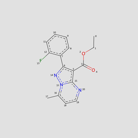 CCOC(=O)c1c(-c2ccccc2F)nn2c(C)ccnc12